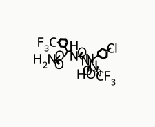 NC(=O)OCC(CNC(=O)Cn1nc(-c2ccc(Cl)cc2)n(C[C@H](O)C(F)(F)F)c1=O)c1cccc(C(F)(F)F)c1